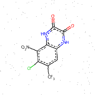 O=c1[nH]c2cc(C(F)(F)F)c(Cl)c([N+](=O)[O-])c2[nH]c1=O